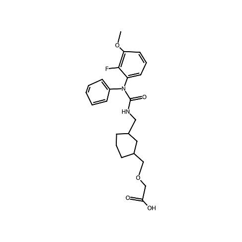 COc1cccc(N(C(=O)NCC2CCCC(COCC(=O)O)C2)c2ccccc2)c1F